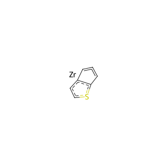 C1=Cc2ccsc2C=1.[Zr]